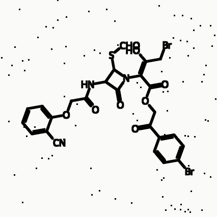 N#Cc1ccccc1OCC(=O)NC1C(=O)N(C(C(=O)OCC(=O)c2ccc(Br)cc2)=C(O)CBr)C1SC=O